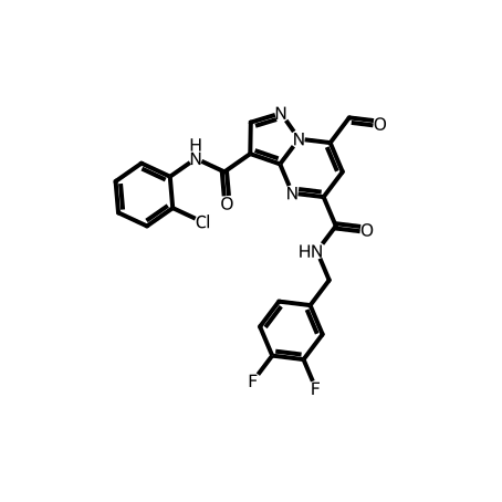 O=Cc1cc(C(=O)NCc2ccc(F)c(F)c2)nc2c(C(=O)Nc3ccccc3Cl)cnn12